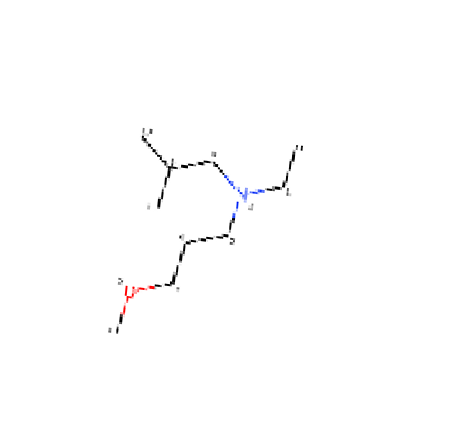 CCN(CCCOC)CC(C)C